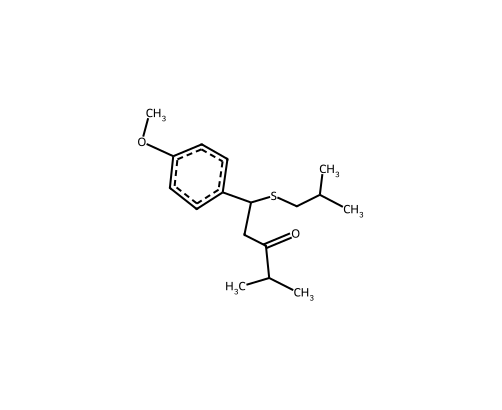 COc1ccc(C(CC(=O)C(C)C)SCC(C)C)cc1